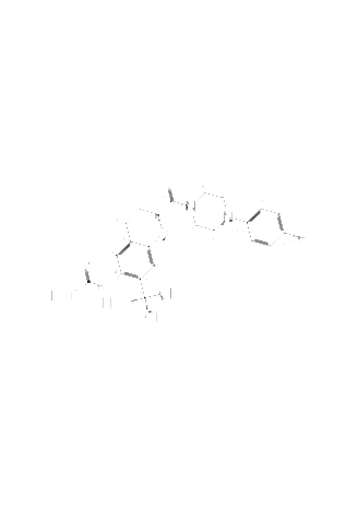 CC(=O)Oc1cc2c(cc1C(C)(C)C)OC(C(=S)N1CCN(c3ccc(F)cc3)CC1)CC2